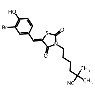 CC(C)(C#N)CCCCN1C(=O)S/C(=C\c2ccc(O)c(Br)c2)C1=O